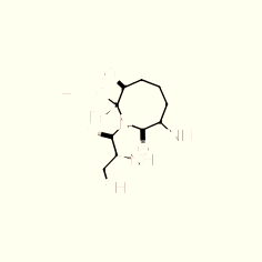 CC(C)[C@@]1(C(=O)O)C(=O)CCCC(N)C(=O)N1C(=O)[C@@H](N)CS